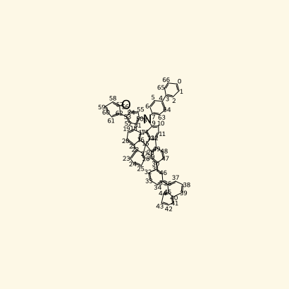 c1ccc(-c2ccc(N(c3ccc4c(c3)C3(c5ccccc5-c5ccccc53)c3cc(-c5cccc(-c6cccc7ccccc67)c5)ccc3-4)c3ccc4c(c3)oc3ccccc34)cc2)cc1